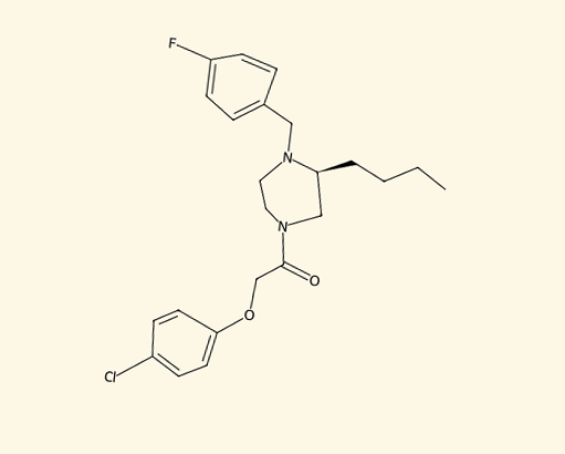 CCCC[C@H]1CN(C(=O)COc2ccc(Cl)cc2)CCN1Cc1ccc(F)cc1